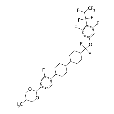 CC1COC(c2ccc(C3CCC(C4CCC(C(F)(F)Oc5cc(F)c(C(F)(F)C(F)C(F)(F)F)c(F)c5)CC4)CC3)c(F)c2)OC1